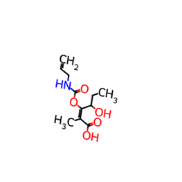 C=CCNC(=O)O/C(=C(\C)C(=O)O)C(O)CC